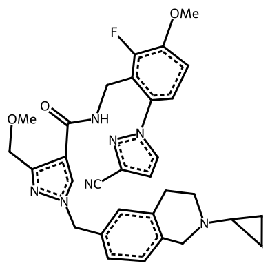 COCc1nn(Cc2ccc3c(c2)CCN(C2CC2)C3)cc1C(=O)NCc1c(-n2ccc(C#N)n2)ccc(OC)c1F